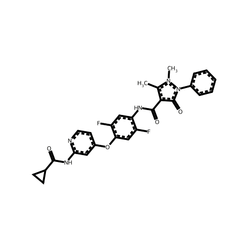 Cc1c(C(=O)Nc2cc(F)c(Oc3ccnc(NC(=O)C4CC4)c3)cc2F)c(=O)n(-c2ccccc2)n1C